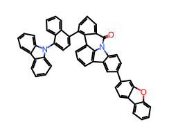 O=c1c2cccc(-c3ccc(-n4c5ccccc5c5ccccc54)c4ccccc34)c2c2cccc3c4cc(-c5ccc6c(c5)oc5ccccc56)ccc4n1c32